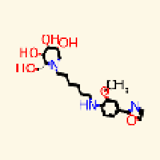 COc1cc(-c2ncco2)ccc1NCCCCCCN1C[C@H](O)[C@@H](O)[C@H](O)[C@H]1CO